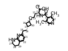 Cc1cncc(C)c1C(=O)N[C@@H](CCO[C@H]1C[C@@H](CCc2ccc3c(n2)NCCC3)C1)C(=O)O